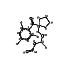 Cc1cc(C)c(C(=O)C2(COC(C)OP=O)CCCC2)c(C)c1